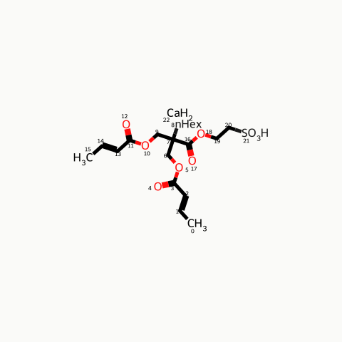 CC=CC(=O)OCC(CCCCCC)(COC(=O)C=CC)C(=O)OCCS(=O)(=O)O.[CaH2]